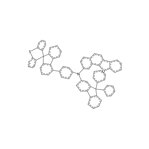 c1ccc(C2(c3ccccc3)c3ccccc3-c3ccc(N(c4ccc(-c5cccc6c5-c5ccccc5C65c6ccccc6Sc6ccccc65)cc4)c4ccc5ccc6c7ccccc7oc6c5c4)cc32)cc1